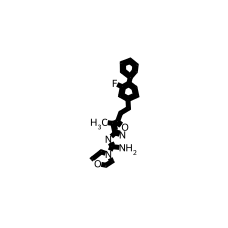 Cc1c(N=C(N)N2CCOCC2)noc1CCc1ccc(-c2ccccc2)c(F)c1